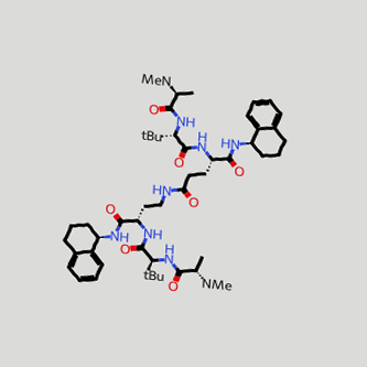 CN[C@@H](C)C(=O)N[C@H](C(=O)N[C@@H](CCNC(=O)CC[C@H](NC(=O)[C@@H](NC(=O)[C@H](C)NC)C(C)(C)C)C(=O)N[C@@H]1CCCc2ccccc21)C(=O)N[C@@H]1CCCc2ccccc21)C(C)(C)C